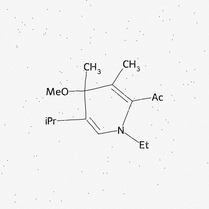 CCN1C=C(C(C)C)C(C)(OC)C(C)=C1C(C)=O